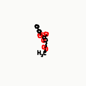 CCCOC(=O)CCCC1CCC2C(CC(OC(=O)c3ccc(-c4ccccc4)cc3)C2C=O)OC1